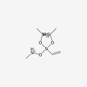 C=C[Si](O[SiH2]C)(O[SiH2]C)O[SiH2]C